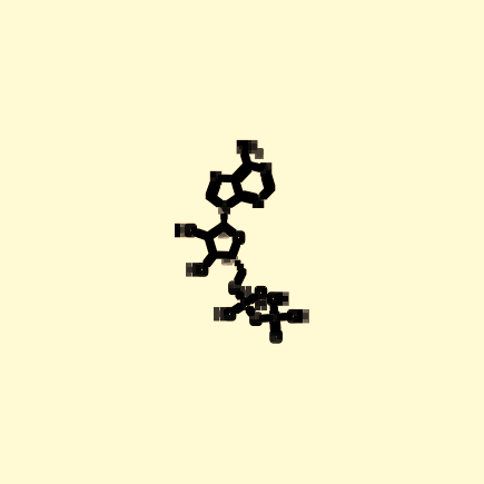 Nc1ncnc2c1ncn2[C@@H]1O[C@H](CO[PH](O)(O)OP(=O)(O)O)C(O)C1O